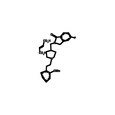 COc1ccccc1CCN1CCC(CN2Cc3cc(F)ccc3C2=O)CC1.O=C(O)/C=C/C(=O)O